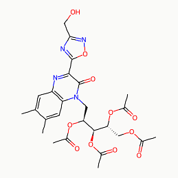 CC(=O)OC[C@@H](OC(C)=O)[C@@H](OC(C)=O)[C@H](Cn1c(=O)c(-c2nc(CO)no2)nc2cc(C)c(C)cc21)OC(C)=O